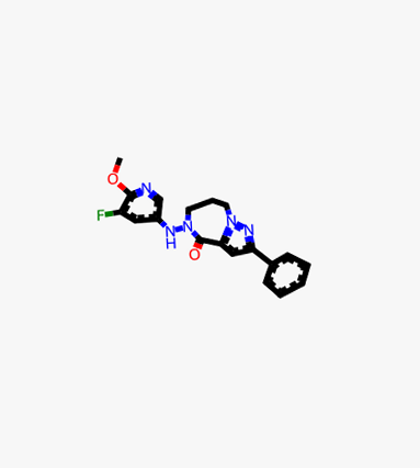 COc1ncc(NN2CCCn3nc(-c4ccccc4)cc3C2=O)cc1F